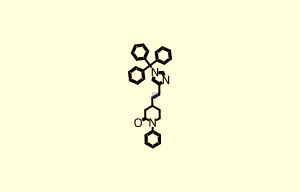 O=C1CC(/C=C/c2cn(C(c3ccccc3)(c3ccccc3)c3ccccc3)cn2)CCN1c1ccccc1